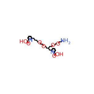 NCCOCCOCCC(CCOCCOCCCCc1cccc(C(=O)O)n1)Cc1cccc(C(=O)O)n1